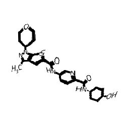 Cc1nn(C2CCOCC2)c2sc(C(=O)Nc3ccc(C(=O)N[C@H]4CC[C@H](O)CC4)nc3)cc12